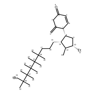 C=C1CC(=O)C=CC1[C@@H]1C[C@H](CC)C(C)[C@@H]1CCCC(C)(C)C(C)(C)C(C)(C)C(C)(C)C(C)(C)C(C)(C)C